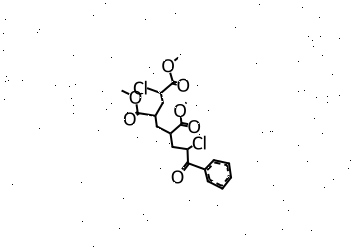 COC(=O)C(Cl)CC(CC(CC(Cl)C(=O)c1ccccc1)C(=O)OC)C(=O)OC